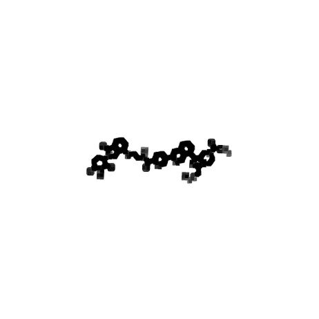 CCc1nc(-c2cccc3cc(-c4ccc(C(=O)NCCSc5cccc6c5CN(C5CCC(=O)NC5=O)C6=O)nc4)ncc23)c2n1CCN(C(C)=O)C2